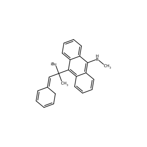 CBc1c2ccccc2c(C(C)(/C=C2/C=CC=CC2)C(C)CC)c2ccccc12